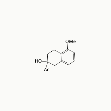 COc1cccc2c1CCC(O)(C(C)=O)C2